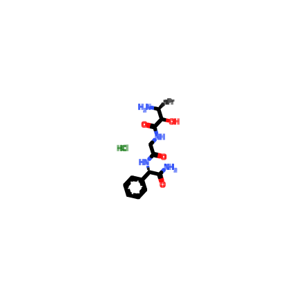 CCC[C@H](N)C(O)C(=O)NCC(=O)N[C@H](C(N)=O)c1ccccc1.Cl